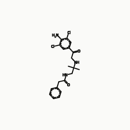 CC(C)(CNC(=O)Cc1ccccc1)NCC(=O)c1cc(Cl)c(N)c(Cl)c1